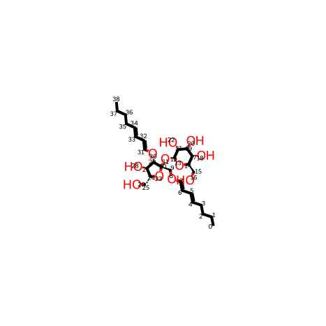 CCCCC=CC=COC[C@@]1(O[C@H]2O[C@H](CO)[C@@H](O)[C@H](O)[C@H]2O)O[C@H](CO)[C@@H](O)[C@@H]1OC=CC=CCCCC